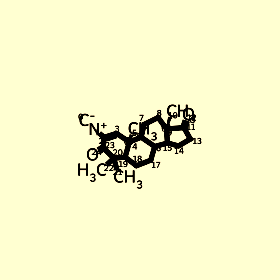 [C-]#[N+]C1=C[C@]2(C)C3CC[C@]4(C)C(=O)CCC4C3CCC2C(C)(C)C1=O